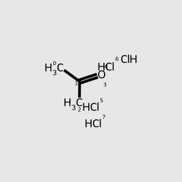 CC(C)=O.Cl.Cl.Cl.Cl